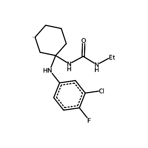 CCNC(=O)NC1(Nc2ccc(F)c(Cl)c2)C[CH]CCC1